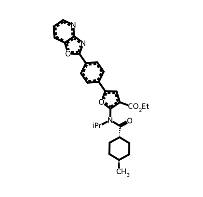 CCOC(=O)c1cc(-c2ccc(-c3nc4ncccc4o3)cc2)oc1N(C(=O)[C@H]1CC[C@H](C)CC1)C(C)C